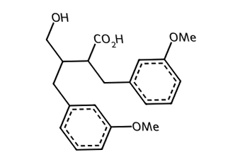 COc1cccc(CC(CO)C(Cc2cccc(OC)c2)C(=O)O)c1